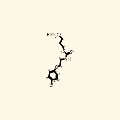 CCOC(=O)CCCSC(=S)NCCOc1ccc(Cl)cc1